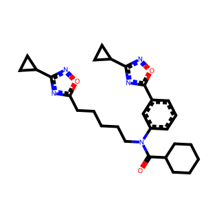 O=C(C1CCCCC1)N(CCCCCc1nc(C2CC2)no1)c1cccc(-c2nc(C3CC3)no2)c1